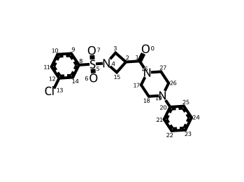 O=C(C1CN(S(=O)(=O)c2cccc(Cl)c2)C1)N1CCN(c2ccccc2)CC1